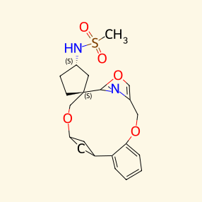 CS(=O)(=O)N[C@H]1CC[C@@]2(COC3CC(C3)c3ccccc3OCc3coc2n3)C1